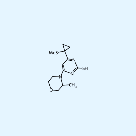 CSC1(c2cc(N3CCOCC3C)nc(S)n2)CC1